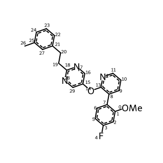 COc1cc(F)ccc1-c1cccnc1Oc1cnc(CCc2cccc(C)c2)nc1